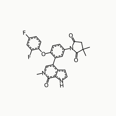 Cn1cc(-c2cc(N3C(=O)CC(C)(C)C3=O)ccc2Oc2ccc(F)cc2F)c2cc[nH]c2c1=O